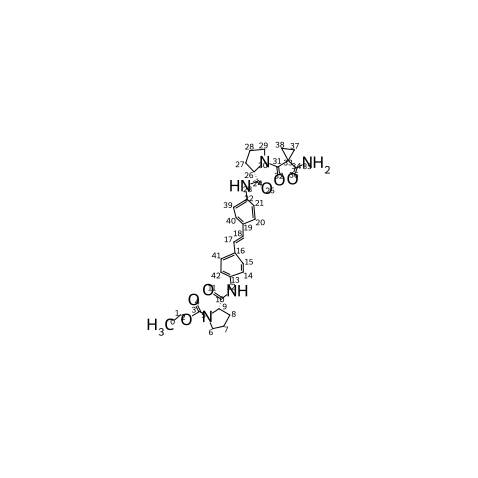 CCOC(=O)N1CCC[C@H]1C(=O)Nc1ccc(/C=C/c2ccc(NC(=O)[C@@H]3CCCN3C(=O)C3(C(N)=O)CC3)cc2)cc1